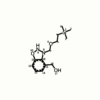 C[Si](C)(C)CCOCN1NOc2cccc(CO)c21